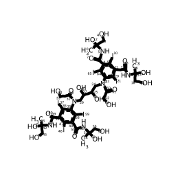 CC(O)(CO)NC(=O)c1c(I)c(C(=O)NC(C)(O)CO)c(I)c(N(CC(O)C(O)CN(C(=O)CO)c2c(I)c(C(=O)NC(C)(O)CO)c(I)c(C(=O)NC(C)(O)CO)c2I)C(=O)CO)c1I